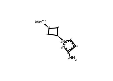 CO[C@H]1C[C@@H](n2ccc(N)n2)C1